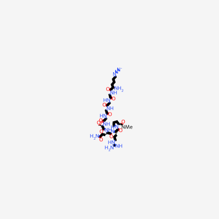 CNC(=O)[C@@H]1CCCN1C(=O)[C@H](CCCNC(=N)N)NC(=O)[C@H](CCC(N)=O)NC(=O)[C@H](CO)NC(=O)CNC(=O)CNC(=O)CNC(=O)CNC(=O)[C@@H](N)CCCCN=[N+]=[N-]